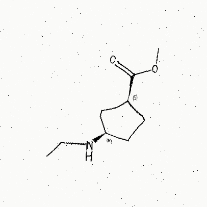 CCN[C@@H]1CC[C@H](C(=O)OC)C1